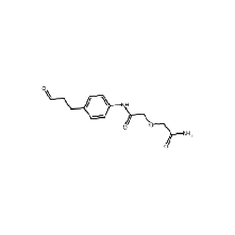 NC(=O)COCC(=O)Nc1ccc(CCC=O)cc1